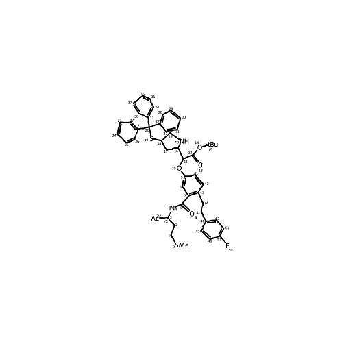 CSCC[C@H](NC(=O)c1cc(OC(C(=O)OC(C)(C)C)C2CC(SC(c3ccccc3)(c3ccccc3)c3ccccc3)CN2)ccc1CCc1ccc(F)cc1)C(C)=O